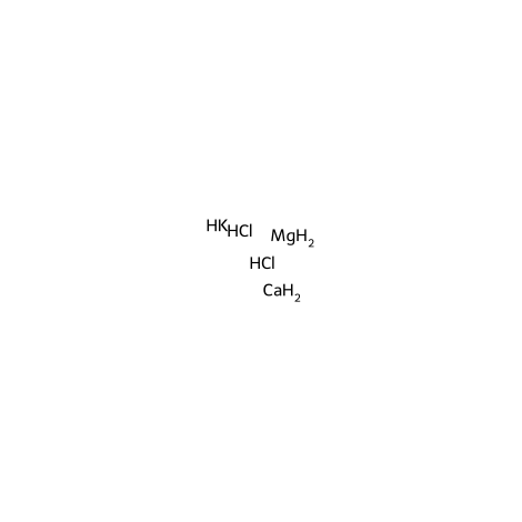 Cl.Cl.[CaH2].[KH].[MgH2]